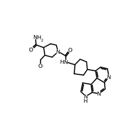 NC(=O)C1CCN(C(=O)NC2CCC(c3ccnc4cnc5[nH]ccc5c34)CC2)CC1C[O]